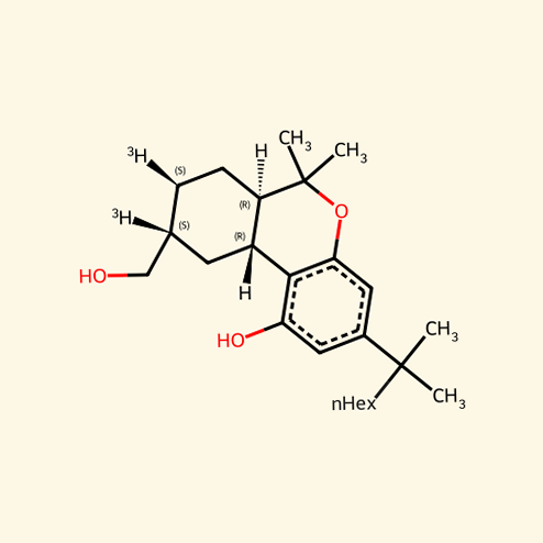 [3H][C@H]1C[C@@H]2[C@@H](C[C@]1([3H])CO)c1c(O)cc(C(C)(C)CCCCCC)cc1OC2(C)C